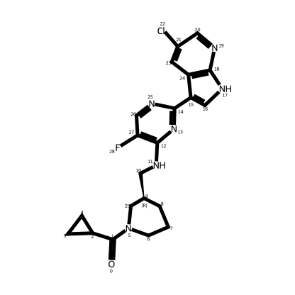 O=C(C1CC1)N1CCC[C@H](CNc2nc(-c3c[nH]c4ncc(Cl)cc34)ncc2F)C1